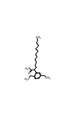 CCCCCCCCCCCCC(C(N)=O)c1cc(CC)ccc1CC